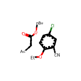 CCCCOC(=O)CC(C)=O.CCOc1ccc(Cl)cc1C#N